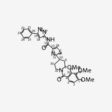 COc1ccc(C(=O)N2CCC(c3nc(C(=O)NC4C=C(c5ccccc5)N=N4)cs3)CC2)c(OC)c1OC